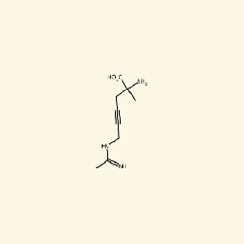 CC(=N)NCC#CCC(C)(N)C(=O)O